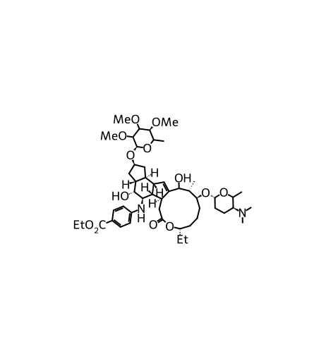 CCOC(=O)c1ccc(N[C@H]2[C@H](O)[C@@H]3C[C@@H](O[C@@H]4OC(C)[C@H](OC)C(OC)C4OC)C[C@H]3[C@@H]3C=C4C(O)[C@H](C)[C@@H](O[C@H]5CC[C@H](N(C)C)C(C)O5)CCC[C@H](CC)OC(=O)C[C@H]4[C@@H]32)cc1